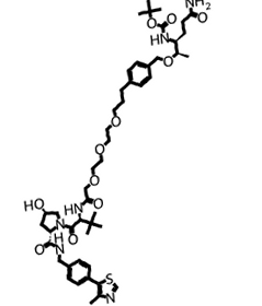 Cc1ncsc1-c1ccc(CNC(=O)[C@@H]2C[C@@H](O)CN2C(=O)[C@@H](NC(=O)COCCOCCOCCCc2ccc(CO[C@H](C)[C@H](CCC(N)=O)NC(=O)OC(C)(C)C)cc2)C(C)(C)C)cc1